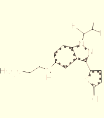 O=C(O)CCNc1ccc2c(c1)c(-c1ccc(Cl)s1)nn2C(F)C(F)F